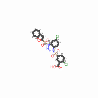 O=C(O)c1cc(S(=O)(=O)Nc2ccc(Cl)cc2NS(=O)(=O)c2cc3ccccc3o2)ccc1Cl